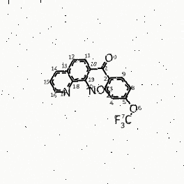 O=C(c1ccc(OC(F)(F)F)cc1)c1ccc2cccnc2c1[N+](=O)[O-]